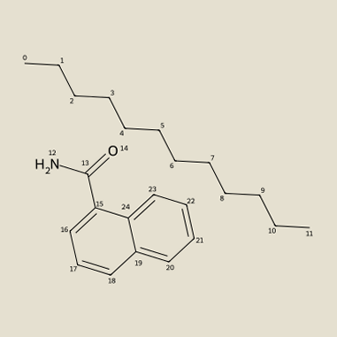 CCCCCCCCCCCC.NC(=O)c1cccc2ccccc12